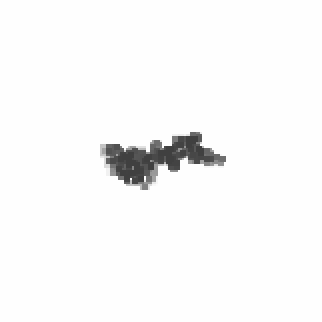 CCCOCCOC(=O)NCCCCC(NC(=O)OCCOCCC)C(=O)NCC(=O)NC1C(O)CC(OC(C)C)(C(=O)O)OC1C(O)C(O)CO